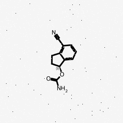 N#Cc1cccc2c1CC[C@@H]2OC(N)=O